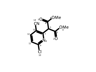 COC(=O)C(C(=O)OC)c1nc(Cl)ccc1C#N